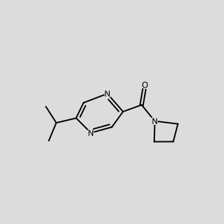 CC(C)c1cnc(C(=O)N2CCC2)cn1